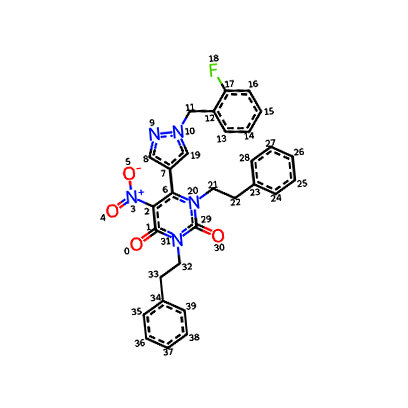 O=c1c([N+](=O)[O-])c(-c2cnn(Cc3ccccc3F)c2)n(CCc2ccccc2)c(=O)n1CCc1ccccc1